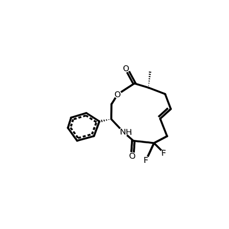 C[C@@H]1C/C=C/CC(F)(F)C(=O)N[C@H](c2ccccc2)COC1=O